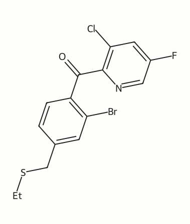 CCSCc1ccc(C(=O)c2ncc(F)cc2Cl)c(Br)c1